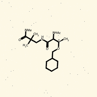 CNC(=O)C(C)(C)CNC(=O)C(NC(C)=O)[C@@H](C)OCC1CCCCC1